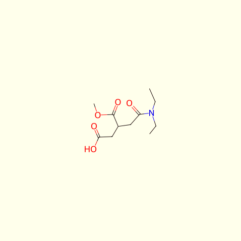 CCN(CC)C(=O)CC(CC(=O)O)C(=O)OC